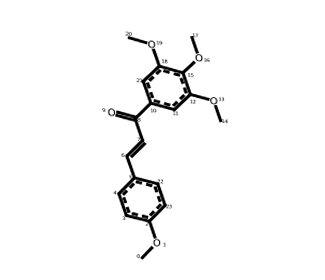 COc1ccc(C=CC(=O)c2cc(OC)c(OC)c(OC)c2)cc1